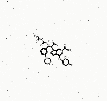 NC(=O)c1cc(NC2=NCC(F)CN2)c2cnn(C(C(N)=O)[C@@H](CC(=O)OC(=O)C(F)(F)F)c3cccc(N4CCOCC4)c3)c2c1